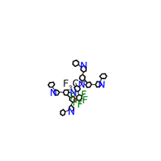 Fc1c(F)c(F)c(-c2cc(-n3c4ccc(-c5ccnc(-c6ccccc6)c5)cc4c4cc(-c5ccnc(-c6ccccc6)c5)ccc43)c(C(F)(F)F)cc2-n2c3ccc(-c4ccnc(-c5ccccc5)c4)cc3c3cc(-c4ccnc(-c5ccccc5)c4)ccc32)c(F)c1F